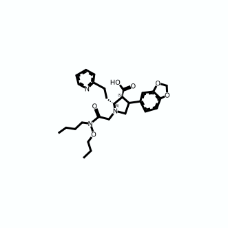 CCCCN(OCCC)C(=O)CN1CC(c2ccc3c(c2)OCO3)[C@H](C(=O)O)[C@H]1CCc1ccccn1